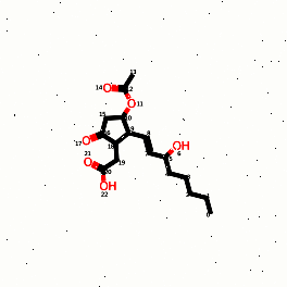 CCCCCC(O)C=CC1C(OC(C)=O)CC(=O)C1CC(=O)O